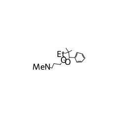 CCC(C)(C)C(OOCCCNC)c1ccccc1